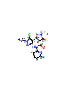 CN1C[C@H](c2cnn(C)c2Cl)[C@@H](C(=O)Nc2cccc(F)n2)C1=O